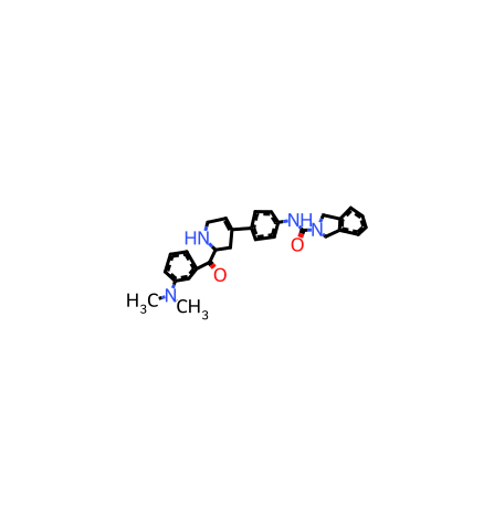 CN(C)c1cccc(C(=O)C2CC(c3ccc(NC(=O)N4Cc5ccccc5C4)cc3)=CCN2)c1